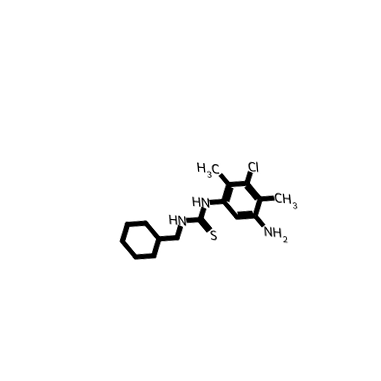 Cc1c(N)cc(NC(=S)NCC2CCCCC2)c(C)c1Cl